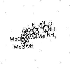 CO[C@]1(COP(=O)(OC)OP(=O)(OC)OP(=O)(O)OC)O[C@@H](n2cnc3c(=O)[nH]c(N)nc32)[C@H](F)[C@@H]1O